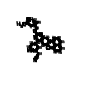 CN(C)CC1(COc2nc3c(c(N4CCN[C@@H](CC#N)C4)n2)CCN(c2cccc4cccc(Cl)c24)C3)CC1